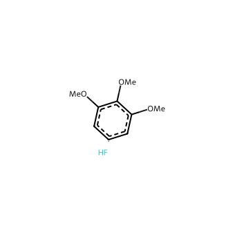 COc1c[c]cc(OC)c1OC.F